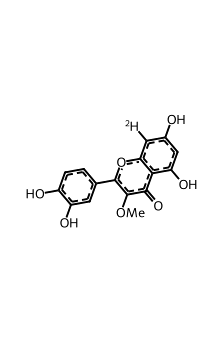 [2H]c1c(O)cc(O)c2c(=O)c(OC)c(-c3ccc(O)c(O)c3)oc12